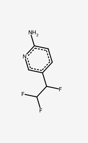 Nc1ccc(C(F)C(F)F)cn1